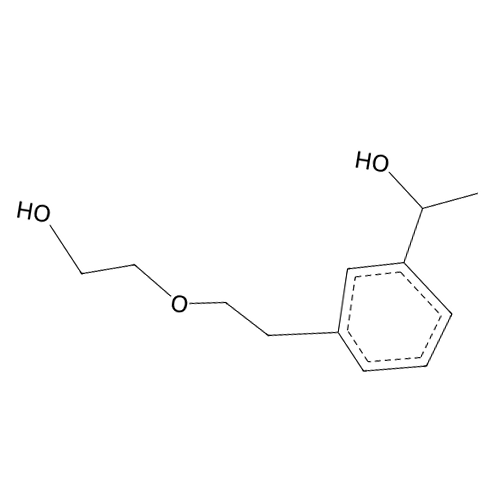 CC(O)c1cccc(CCOCCO)c1